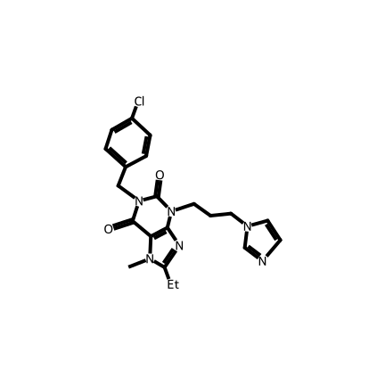 CCc1nc2c(c(=O)n(Cc3ccc(Cl)cc3)c(=O)n2CCCn2ccnc2)n1C